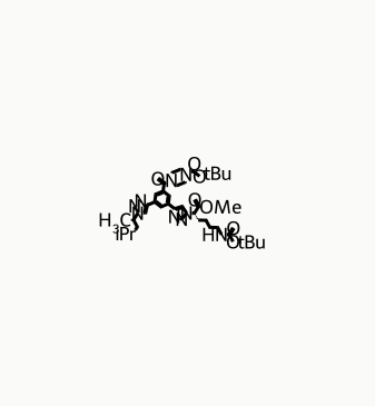 COC(=O)[C@H](CCCCNC(=O)OC(C)(C)C)n1cc(-c2cc(C(=O)N3CCN(C(=O)OC(C)(C)C)CC3)cc(-c3cn([C@H](C)CC(C)C)nn3)c2)nn1